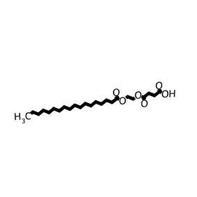 CCCCCCCCCCCCCCCCCC(=O)OCCOC(=O)CCC(=O)O